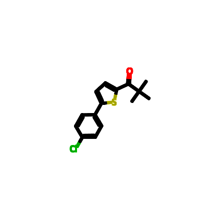 CC(C)(C)C(=O)c1ccc(-c2ccc(Cl)cc2)s1